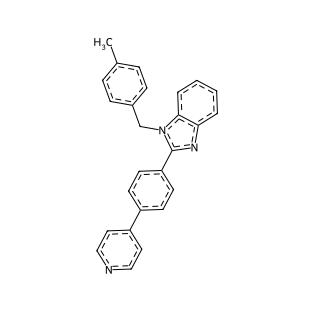 Cc1ccc(Cn2c(-c3ccc(-c4ccncc4)cc3)nc3ccccc32)cc1